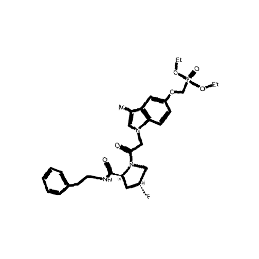 CCOP(=O)(COc1ccc2c(c1)c(C(C)=O)cn2CC(=O)N1C[C@H](F)C[C@H]1C(=O)NCCc1ccccc1)OCC